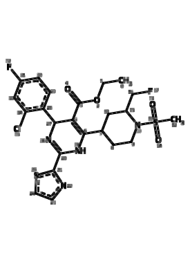 CCOC(=O)C1=C(C2CCN(S(C)(=O)=O)C(CF)C2)NC(c2nccs2)=NC1c1ccc(F)cc1Cl